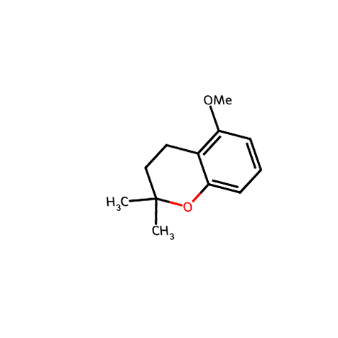 COc1cccc2c1CCC(C)(C)O2